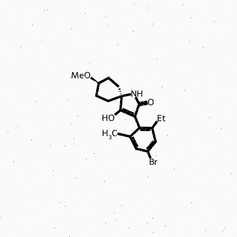 CCc1cc(Br)cc(C)c1C1=C(O)[C@]2(CC[C@H](OC)CC2)NC1=O